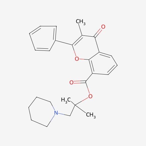 Cc1c(-c2ccccc2)oc2c(C(=O)OC(C)(C)CN3CCCCC3)cccc2c1=O